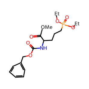 CCOP(=O)(CCCC(NC(=O)OCc1ccccc1)C(=O)OC)OCC